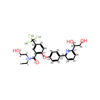 CCN(CCO)C(=O)c1cc(C(F)(F)F)ccc1Oc1ccc(-c2cccc(C(O)CO)n2)cc1